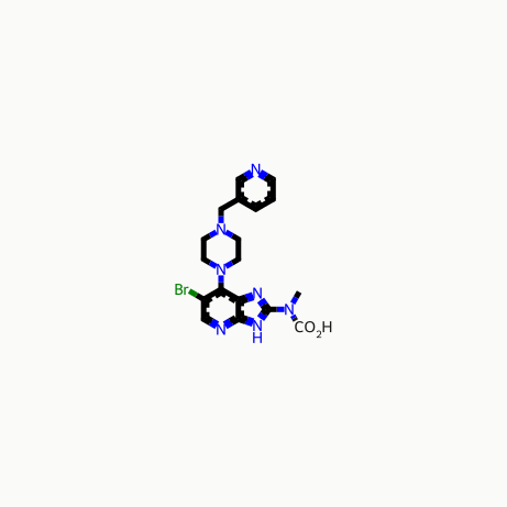 CN(C(=O)O)c1nc2c(N3CCN(Cc4cccnc4)CC3)c(Br)cnc2[nH]1